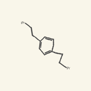 CC(C)CCc1ccc(CCC(C)C)cc1